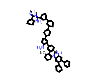 CCC1NC2C=C(c3ccccc3)C(c3ccccc3)=CC2N1C1=C(c2cccc(-c3cc(C4C=CC(c5cccc(-c6cccc(/C(N)=N/C(=N\C)c7ccccc7)c6)c5)=CC4)ccc3N)c2)C(C#N)=CCC1